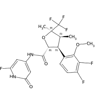 COc1c([C@H]2[C@H](C(=O)Nc3cc(F)[nH]c(=O)c3)O[C@@](C)(C(F)(F)F)[C@H]2C)ccc(F)c1F